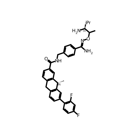 CC(C)[C@H](N)C(C)ON=C(N)c1ccc(CNC(=O)c2ccc3c(c2)[C@H](C)c2cc(-c4ccc(F)cc4F)ccc2C3)cc1